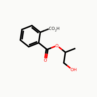 CC(CO)OC(=O)c1ccccc1C(=O)O